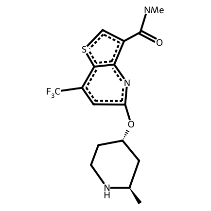 CNC(=O)c1csc2c(C(F)(F)F)cc(O[C@H]3CCN[C@H](C)C3)nc12